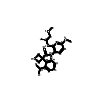 COC[C@H](C)Oc1nc(OC)ccc1NC(=O)C1(c2ccccc2C(C)C)COC1